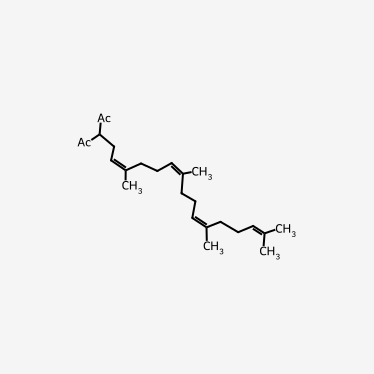 CC(=O)C(CC=C(C)CCC=C(C)CCC=C(C)CCC=C(C)C)C(C)=O